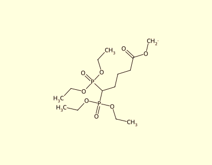 [CH2]OC(=O)CCCC(P(=O)(OCC)OCC)P(=O)(OCC)OCC